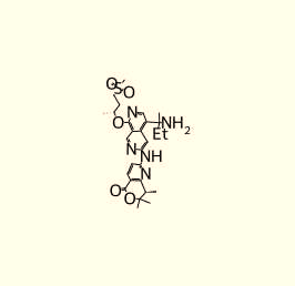 CCC(C)(N)c1cnc(O[C@H](C)CCS(C)(=O)=O)c2cnc(Nc3ccc4c(n3)[C@@H](C)C(C)(C)OC4=O)cc12